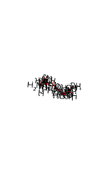 C[C@@H]1Nc2nc(N)[nH]c(=O)c2N2CN(c3ccc(C[C@H](O)[C@H](O)[C@H](O)CO[C@H]4O[C@H](COP(=O)(O)O[C@@H](CCC(=O)O)C(=O)O)[C@@H](O)[C@H]4O)cc3)[C@H](C)[C@@H]12